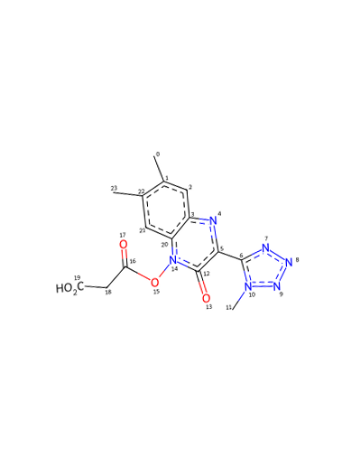 Cc1cc2nc(-c3nnnn3C)c(=O)n(OC(=O)CC(=O)O)c2cc1C